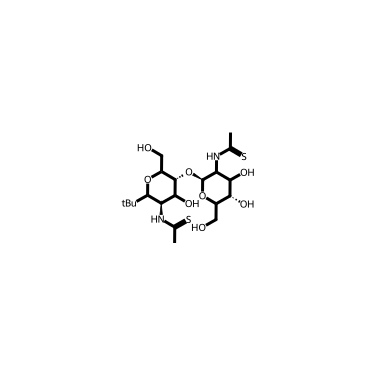 CC(=S)NC1C(O)[C@H](O)C(CO)O[C@H]1O[C@H]1C(CO)OC(C(C)(C)C)[C@H](NC(C)=S)C1O